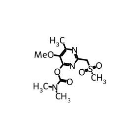 COc1c(C)nc(CS(C)(=O)=O)nc1OC(=O)N(C)C